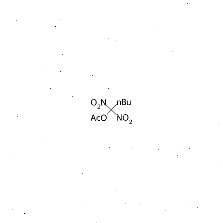 CCCCC(OC(C)=O)([N+](=O)[O-])[N+](=O)[O-]